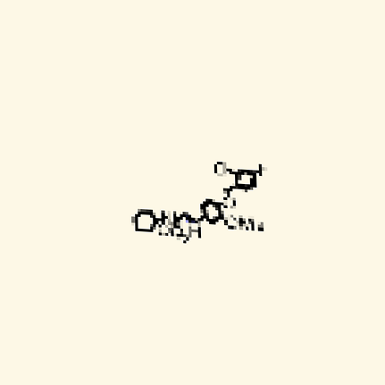 COc1cc(/C=C/C(=O)NC2(C(=O)O)CCCCC2)ccc1OCc1ccc(F)cc1Cl